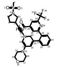 CS(=O)(=O)N1CCC(C#CN2C=C(N3CCOCC3)C=C(c3ccccc3-c3cc(C(N)=O)cc(C(F)(F)F)n3)C2)C1